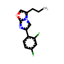 C[CH]Cc1coc2nc(-c3ccc(F)cc3F)cn12